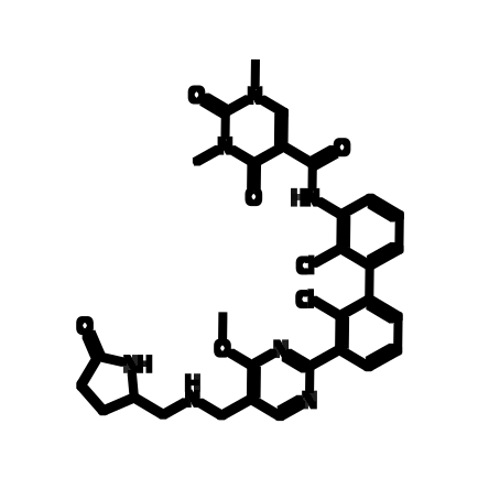 COc1nc(-c2cccc(-c3cccc(NC(=O)c4cn(C)c(=O)n(C)c4=O)c3Cl)c2Cl)ncc1CNCC1CCC(=O)N1